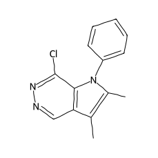 Cc1c(C)n(-c2ccccc2)c2c(Cl)nncc12